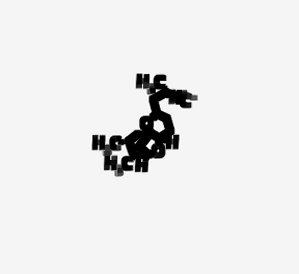 [C-]#[N+][C@H](C)CC1CC[C@@H]2O[C@@H]3C[C@]2(C[C@@H](C)[C@H]3C)O1